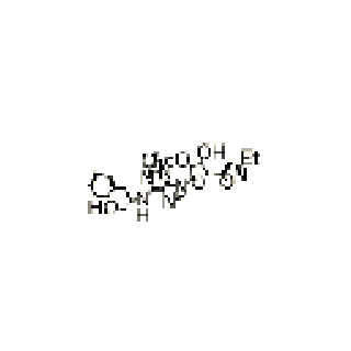 CCc1cc([C@H]2O[C@@H](n3cnc4c(N[C@H](CO)Cc5ccccc5)nc(Cl)nc43)[C@H](OC(C)=O)[C@@H]2O)on1